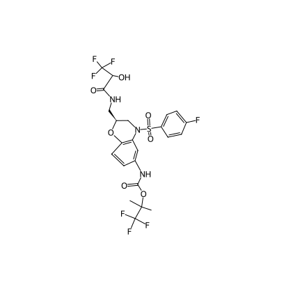 CC(C)(OC(=O)Nc1ccc2c(c1)N(S(=O)(=O)c1ccc(F)cc1)C[C@H](CNC(=O)C(O)C(F)(F)F)O2)C(F)(F)F